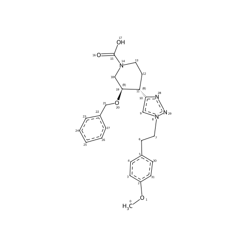 COc1ccc(CCn2cc([C@H]3CCN(C(=O)O)C[C@@H]3OCc3ccccc3)nn2)cc1